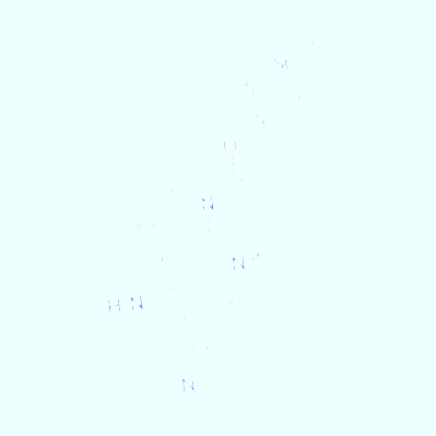 C[Si](C)(C)CCOCn1ccc2c(N)c(C#N)cnc21